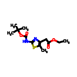 CCOC(=O)Cc1nc(NC(=O)OC(C)(C)C)sc1C